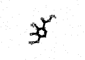 COC(=O)c1ccc(OC)c(Cl)c1N